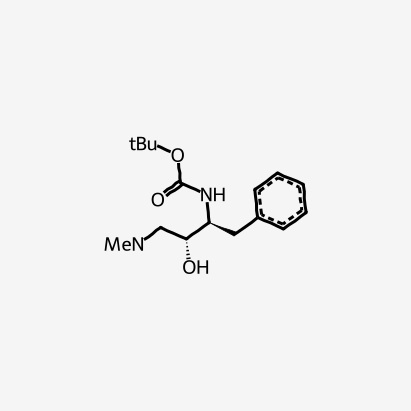 CNC[C@@H](O)[C@H](Cc1ccccc1)NC(=O)OC(C)(C)C